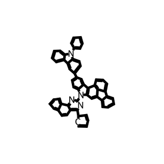 C1=CCC(c2nc(-n3c4ccc(-c5ccc6c(c5)c5ccccc5n6-c5ccccc5)cc4c4c5cccc6c5c(cc43)-c3ccccc3-6)nc3c2ccc2ccccc23)C=C1